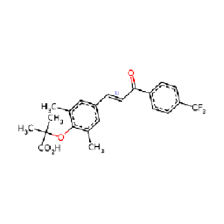 Cc1cc(/C=C/C(=O)c2ccc(C(F)(F)F)cc2)cc(C)c1OC(C)(C)C(=O)O